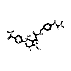 CC(C)n1nc(C(=O)NCc2ccc(NC(=O)N(C)C)cc2)c2c1[C@@H](C)CN(c1ccc(C(=O)N(C)C)cn1)[C@@H]2O